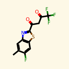 Cc1cc2nc(C(=O)CC(=O)C(F)(F)F)sc2cc1F